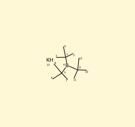 CC(C)(C)B(C(C)(C)C)C(C)(C)C.[KH]